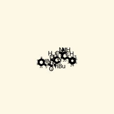 CCCCN1C(=O)[C@H](CC2CCCCC2)NC(=O)C12CCN(C(CCc1ccccc1)c1c(C)n[nH]c1C)CC2